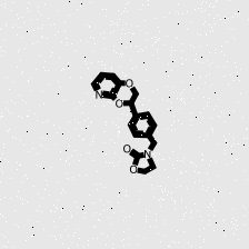 O=C1OCCN1Cc1ccc(C2COc3cccnc3O2)cc1